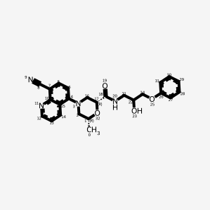 C[C@@H]1CN(c2ccc(C#N)c3ncccc23)C[C@H](C(=O)NCC(O)COc2ccccc2)O1